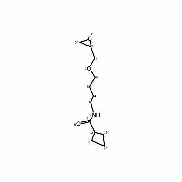 O=C(NCCCCOCC1CO1)C1CCC1